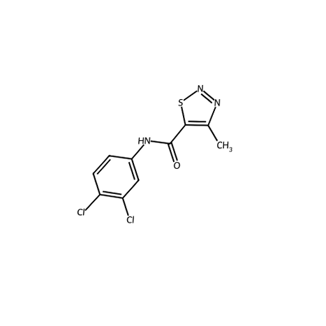 Cc1nnsc1C(=O)Nc1ccc(Cl)c(Cl)c1